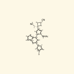 CC(=O)Nc1nn([C@]2(CC#N)C[C@@H](C#N)C2)cc1-c1nc(-c2cnn(C)c2)cn2nccc12